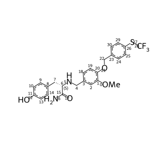 COc1cc(CN[C@@H](Cc2ccc(O)cc2)C(N)=O)ccc1OCc1ccc(SC(F)(F)F)cc1